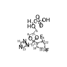 CS(=O)(=O)O.OCC1COC(Cn2cncn2)(c2ccc(F)cc2F)O1